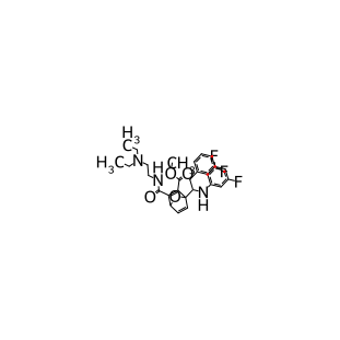 CCN(CC)CCNC(=O)C1=C(C(=O)OC)C2(C(Cc3cccc(F)c3)Nc3cc(F)cc(F)c3)C=CC1O2